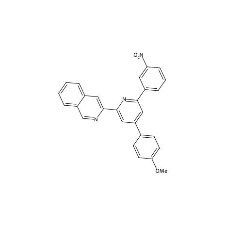 COc1ccc(-c2cc(-c3cccc([N+](=O)[O-])c3)nc(-c3cc4ccccc4cn3)c2)cc1